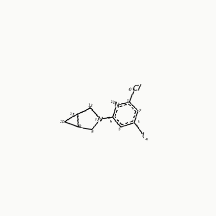 Clc1cc(I)cc(N2CC3CC3C2)n1